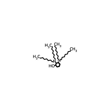 CCCCCCCCN(CCCCCCCC)c1cccc(O)c1N(CCCCCCCC)CCCCCCCC